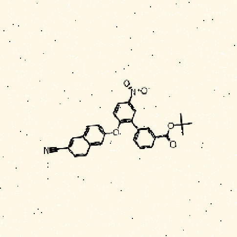 CC(C)(C)OC(=O)c1cccc(-c2cc([N+](=O)[O-])ccc2Oc2ccc3cc(C#N)ccc3c2)c1